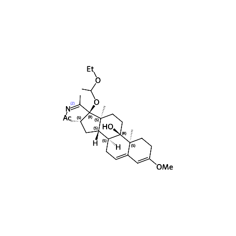 CCOC(C)O[C@]1(/C(C)=N\C(C)=O)[C@@H](C)C[C@H]2[C@@H]3CC=C4C=C(OC)CC[C@]4(C)[C@@]3(O)CC[C@@]21C